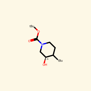 CC(C)(C)OC(=O)N1CCC(C(C)(C)C)[C@@H](O)C1